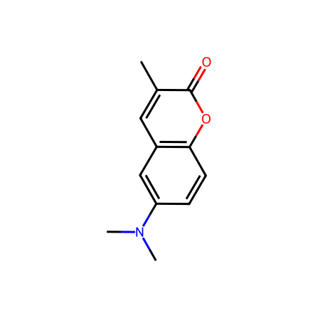 Cc1cc2cc(N(C)C)ccc2oc1=O